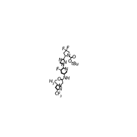 Cc1cc(C(F)(F)F)nn1CC(=O)Nc1cnc(-n2cnc(C3CC(F)(F)CN3C(=O)OC(C)(C)C)n2)c(F)c1